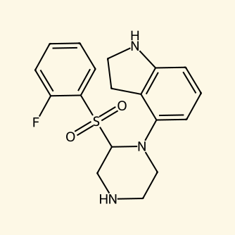 O=S(=O)(c1ccccc1F)C1CNCCN1c1cccc2c1CCN2